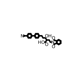 N#Cc1ccc(-c2ccc(CCC(O)C(CCN3C(=O)c4ccccc4C3=O)C(=O)O)cc2)cc1